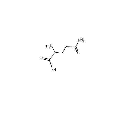 NC(=O)CCC(N)C(=O)S